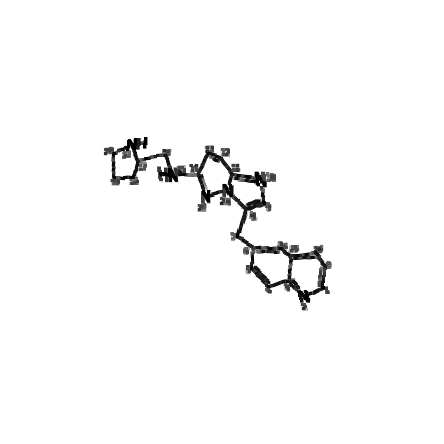 c1cnc2ccc(Cc3cnc4ccc(NCC5CCCN5)nn34)cc2c1